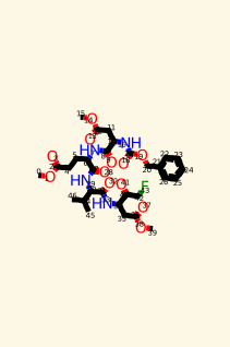 COC(=O)CCC(NC(=O)C(CC(=O)OC)NC(=O)OCc1ccccc1)C(=O)NC(C(=O)NC(CC(=O)OC)C(=O)CF)C(C)C